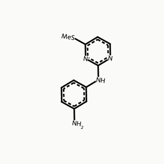 CSc1ccnc(Nc2cccc(N)c2)n1